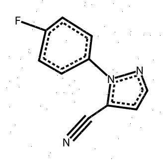 N#Cc1ccnn1-c1ccc(F)cc1